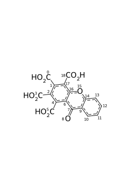 O=C(O)c1c(C(=O)O)c(C(=O)O)c2c(=O)c3ccccc3oc2c1C(=O)O